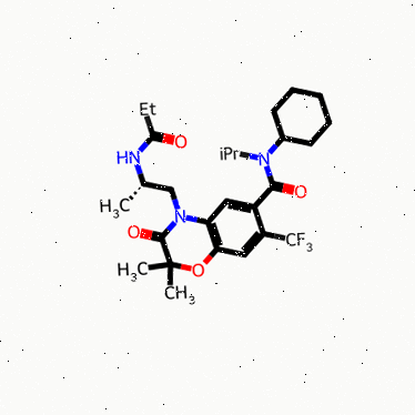 CCC(=O)N[C@@H](C)CN1C(=O)C(C)(C)Oc2cc(C(F)(F)F)c(C(=O)N(C(C)C)C3CCCCC3)cc21